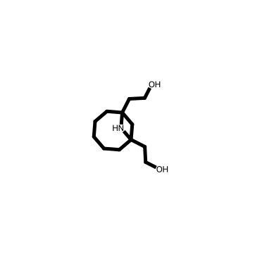 OCCC12CCCCCC(CCO)(C1)N2